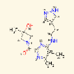 Cc1nc(C(=O)N2CC(C)(O)C2)nc(NCCc2cn[nH]c2)c1C